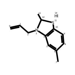 C=CCN1c2cc(C)ccc2SC1C.I